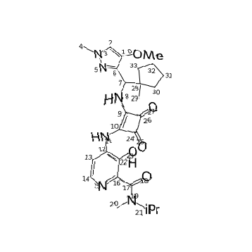 COc1cn(C)nc1C(Nc1c(Nc2ccnc(C(=O)N(C)C(C)C)c2O)c(=O)c1=O)C1(C)CCCC1